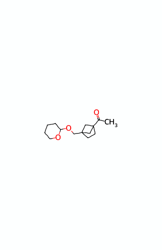 CC(=O)C12CCC(COC3CCCCO3)(C1)C2